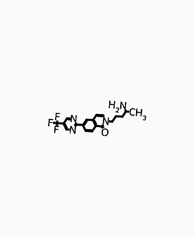 CC(N)CCCn1ccc2cc(-c3ncc(C(F)(F)F)cn3)ccc2c1=O